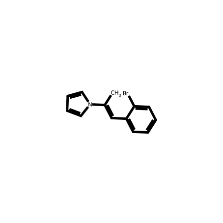 C/C(=C\c1ccccc1Br)n1cccc1